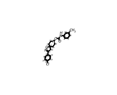 Cc1cccc(NC(=O)ON2CCC3(CC2)CC(c2ccc(Cl)cc2)=NO3)c1